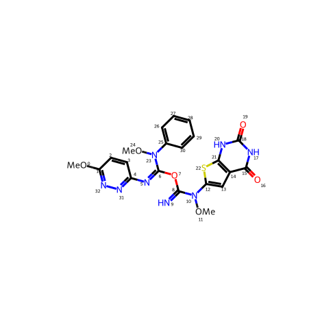 COc1ccc(N=C(OC(=N)N(OC)c2cc3c(=O)[nH]c(=O)[nH]c3s2)N(OC)c2ccccc2)nn1